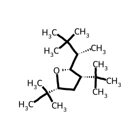 C[C@H]([C@H]1O[C@@H](C(C)(C)C)C[C@H]1C(C)(C)C)C(C)(C)C